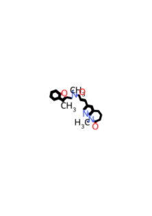 Cc1c(CN(C)C(=O)/C=C/c2cnc3c(c2)CCCC(=O)N3C)oc2ccccc12